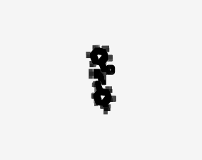 O=C(NN=Cc1ccc(F)cc1)c1ccccc1